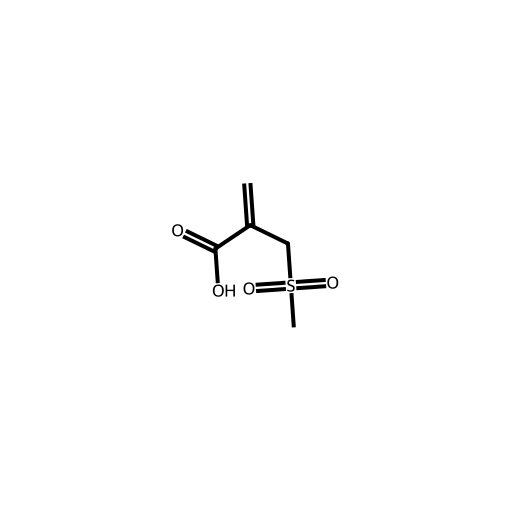 C=C(CS(C)(=O)=O)C(=O)O